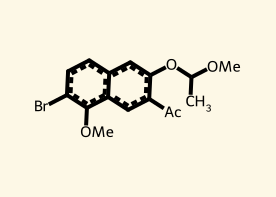 COc1c(Br)ccc2cc(OC(C)OC)c(C(C)=O)cc12